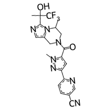 CC1CN(C(=O)c2cc(-c3ccc(C#N)cn3)nn2C)Cc2cnc(C(C)(O)C(F)(F)F)n21